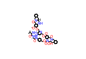 COc1cc2c(cc1OCc1cccc(COc3cc4c(cc3OC)C(=O)N3Cc5ccccc5CC3C(O)N4C(=O)OCc3ccc(NC(=O)[C@H](C)NC(=O)[C@@H](N)C(C)C)cc3)n1)NC[C@@H]1Cc3ccccc3CN1C2=O